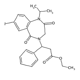 CCOC(=O)CC(c1ccccc1)N1CC(=O)N(C(C)C)c2ccc(I)cc2C1=O